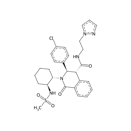 CS(=O)(=O)N[C@H]1CCCC[C@@H]1N1C(=O)c2ccccc2[C@@H](C(=O)NCCn2cccn2)[C@@H]1c1ccc(Cl)cc1